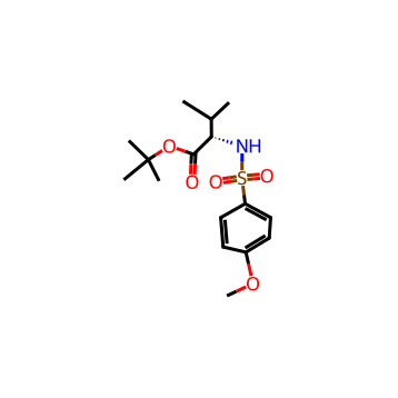 COc1ccc(S(=O)(=O)N[C@H](C(=O)OC(C)(C)C)C(C)C)cc1